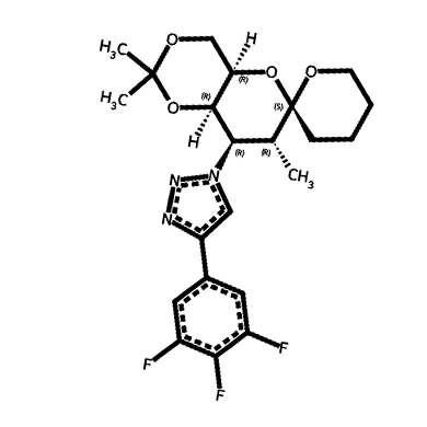 C[C@@H]1[C@@H](n2cc(-c3cc(F)c(F)c(F)c3)nn2)[C@H]2OC(C)(C)OC[C@H]2O[C@@]12CCCCO2